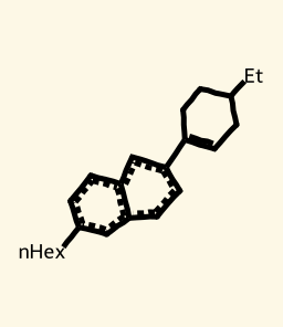 CCCCCCc1ccc2cc(C3=CCC(CC)CC3)ccc2c1